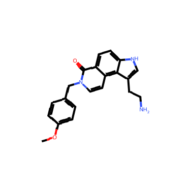 COc1ccc(Cn2ccc3c(ccc4[nH]cc(CCN)c43)c2=O)cc1